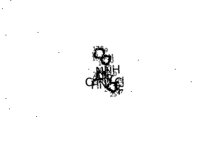 CPc1c(Nc2nc(Nc3ccc4c(c3)CCCCC4)ncc2Cl)ccc(F)c1Cl